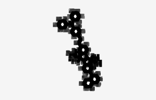 [2H]C([2H])([2H])C1(C)C2=C(c3ccc(/C=C/c4ccc(N(c5ccccc5)c5ccccc5)cc4)cc31)C(C)(C([2H])([2H])[2H])c1cc(-c3cccc4ccccc34)ccc12